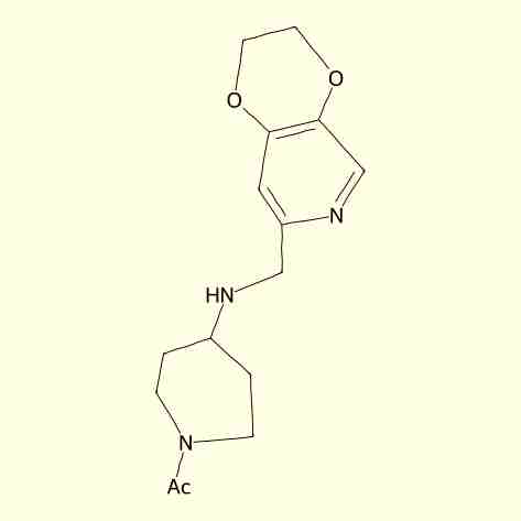 CC(=O)N1CCC(NCc2cc3c(cn2)OCCO3)CC1